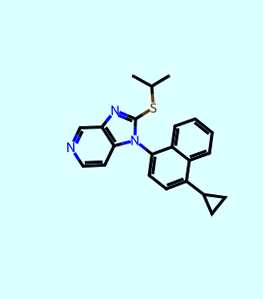 CC(C)Sc1nc2cnccc2n1-c1ccc(C2CC2)c2ccccc12